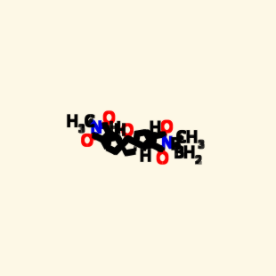 BB(C)N1C(=O)C2[C@@H](C1=O)C1C[C@@H]2[C@]2(CC[C@]3(CC4C[C@@H]3[C@@H]3C(=O)N(C)C(=O)C43)C2=O)C1